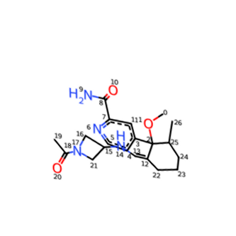 COC1(c2ccnc(C(N)=O)c2)/C(=C\NC2CN(C(C)=O)C2)CCCC1C